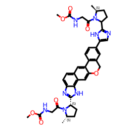 COC(=O)NCC(=O)N1C(c2ncc(-c3ccc4c(c3)COc3cc5c(ccc6nc([C@@H]7CC[C@H](C)N7C(=O)CNC(=O)OC)[nH]c65)cc3-4)[nH]2)CC[C@@H]1C